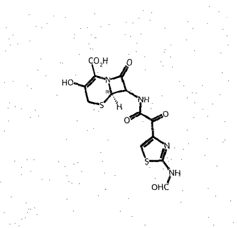 O=CNc1nc(C(=O)C(=O)NC2C(=O)N3C(C(=O)O)=C(O)CS[C@H]23)cs1